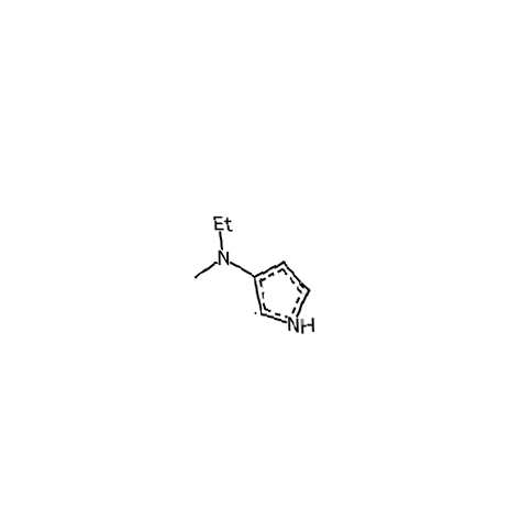 CCN(C)c1[c][nH]cc1